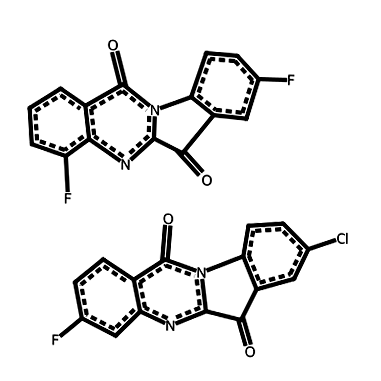 O=C1c2cc(Cl)ccc2-n2c1nc1cc(F)ccc1c2=O.O=C1c2cc(F)ccc2-n2c1nc1c(F)cccc1c2=O